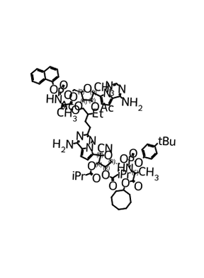 CCC(CCc1nc(N)c2ccc([C@]3(C#N)O[C@H](COP(=O)(N[C@@H](C)C(=O)OC4CCCCCCC4)Oc4ccc(C(C)(C)C)cc4)[C@@H](OC(=O)C(C)C)[C@H]3OC(=O)C(C)C)n2n1)COC(=O)[C@H](C)NP(=O)(OC[C@H]1O[C@@](C)(c2ccc3c(N)ncnn23)[C@H](OC(C)=O)[C@@H]1OC(C)=O)Oc1cccc2ccccc12